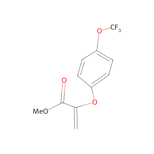 C=C(Oc1ccc(OC(F)(F)F)cc1)C(=O)OC